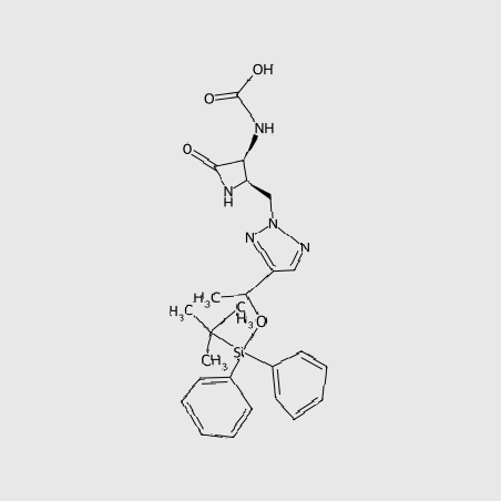 CC(O[Si](c1ccccc1)(c1ccccc1)C(C)(C)C)c1cnn(C[C@H]2NC(=O)[C@H]2NC(=O)O)n1